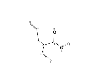 CCCC(CC)C(=O)OC